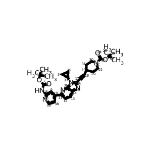 CC(C)(C)OC(=O)Nc1cc(-c2ccc3nc(C#CC4CCN(C(=O)OC(C)(C)C)CC4)n(C4CC4)c3n2)ccn1